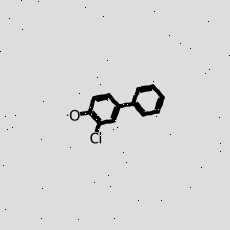 [O]c1ccc(-c2ccccc2)cc1Cl